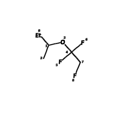 CCC(C)OC(F)(F)CF